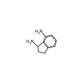 Nc1cccc2c1C(N)CC2